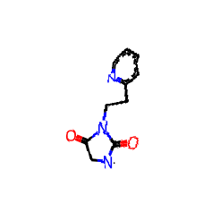 O=C1C[N]C(=O)N1CCc1ccccn1